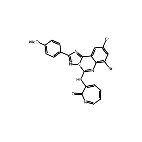 COc1ccc(-c2nc3c4cc(Br)cc(Br)c4nc(Nc4ccccnc4=O)n3n2)cc1